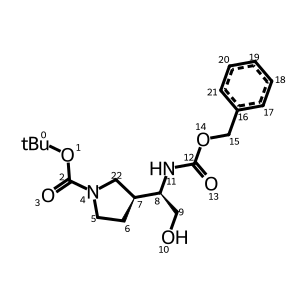 CC(C)(C)OC(=O)N1CC[C@H]([C@H](CO)NC(=O)OCc2ccccc2)C1